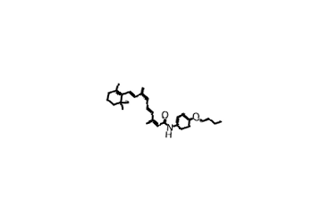 CCCCOc1ccc(NC(=O)C=C(C)C=CC=C(C)C=CC2=C(C)CCCC2(C)C)cc1